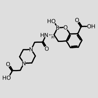 O=C(O)CN1CCN(CC(=O)N[C@H]2Cc3cccc(C(=O)O)c3OB2O)CC1